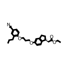 CCCc1cc(C#N)ccc1OCCCOc1ccc2c(c1)CC[C@H]2CC(=O)OCC